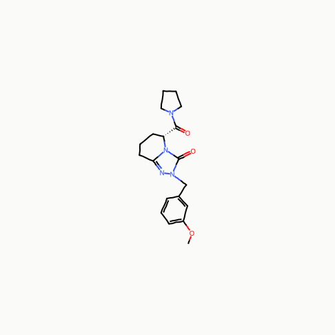 COc1cccc(Cn2nc3n(c2=O)[C@@H](C(=O)N2CCCC2)CCC3)c1